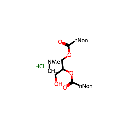 CCCCCCCCCC(=O)OCC(CO)OC(=O)CCCCCCCCC.CNC.Cl